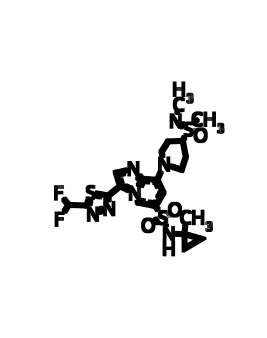 CN=S(C)(=O)C1CCN(c2cc(S(=O)(=O)NC3(C)CC3)cn3c(-c4nnc(C(F)F)s4)cnc23)CC1